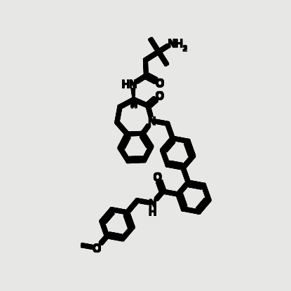 COc1ccc(CNC(=O)c2ccccc2-c2ccc(CN3C(=O)[C@H](NC(=O)CC(C)(C)N)CCc4ccccc43)cc2)cc1